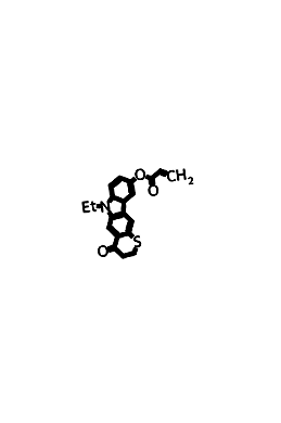 C=CC(=O)OC1=CC2c3cc4c(cc3N(CC)C2C=C1)C(=O)CCS4